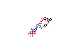 O=C1CCC(N2C(=O)c3ccc(N4CCN(CCCO[C@H]5C[C@H](Oc6ccc(CN7C(=O)/C(=C\C=C\c8ccc([N+](=O)[O-])cc8)c8ccccc87)cc6)C5)CC4)cc3C2=O)C(=O)N1